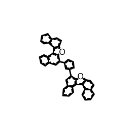 c1cc(-c2cc3ccccc3c3c2oc2ccc4ccccc4c23)cc(-c2cc3ccccc3c3c2oc2ccc4ccccc4c23)c1